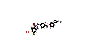 COc1cccc(OC(C)C2CCC(CN3Cc4cc(F)c(O)c(F)c4C3=O)CC2)c1